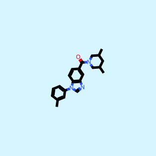 Cc1cccc(-n2cnc3cc(C(=O)N4CC(C)CC(C)C4)ccc32)c1